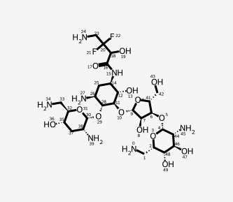 NC[C@@H]1O[C@H](O[C@H]2[C@@H](O)[C@H](O[C@@H]3[C@@H](O)[C@H](NC(=O)C(O)C(F)(F)CN)C[C@H](N)[C@H]3O[C@H]3O[C@H](CN)[C@@H](O)C[C@H]3N)O[C@@H]2CO)[C@H](N)[C@@H](O)[C@@H]1O